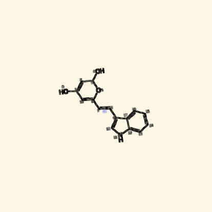 OC1=CC(O)OC(/C=C/c2c[nH]c3ccccc23)=C1